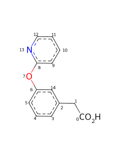 O=C(O)Cc1cccc(Oc2ccccn2)c1